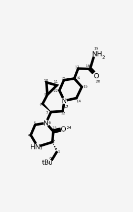 CC(C)(C)C[C@@H]1NCCN([C@@H](CC2CC2)CN2CCC(CC(N)=O)CC2)C1=O